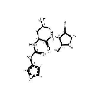 CC(C)C(C)C[C@H](NC(=O)Oc1ccoc1)C(=O)N[C@@H]1C(=O)CO[C@H]1C